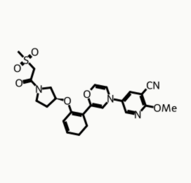 COc1ncc(N2C=COC(C3=C(O[C@H]4CCN(C(=O)CS(C)(=O)=O)C4)C=CCC3)=C2)cc1C#N